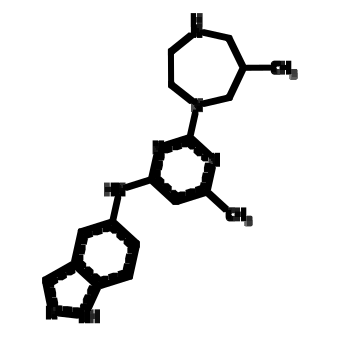 Cc1cc(Nc2ccc3[nH]ncc3c2)nc(N2CCNCC(C)C2)n1